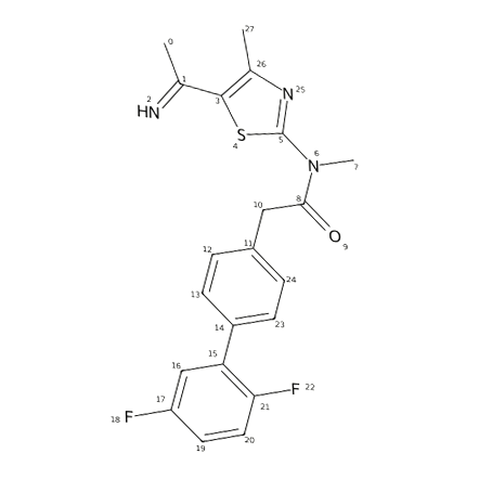 CC(=N)c1sc(N(C)C(=O)Cc2ccc(-c3cc(F)ccc3F)cc2)nc1C